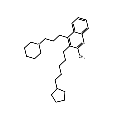 Cc1nc2ccccc2c(CCCN2CCCCC2)c1CCCCCC1CCCC1